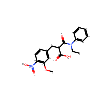 CCN(C(=O)C(Cc1ccc([N+](=O)[O-])c(OC)c1)C(=O)O)c1ccccc1